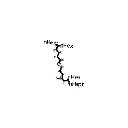 CCCCCCCC(CCCCCC)CN(C)CCCOCCCCC(CCCCCC)CCCCCC